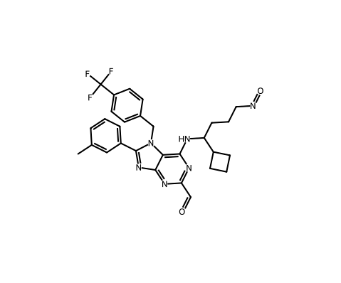 Cc1cccc(-c2nc3nc(C=O)nc(NC(CCCN=O)C4CCC4)c3n2Cc2ccc(C(F)(F)F)cc2)c1